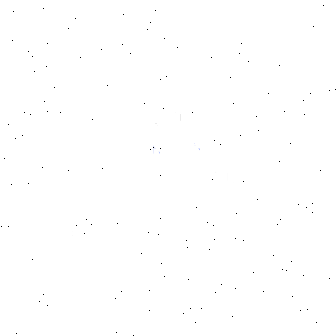 C=C(/N=C(\N=C(/C)C1=CCC=CC=C1)c1cccc2c1Cc1cc(C)ccc1-2)c1ccccc1